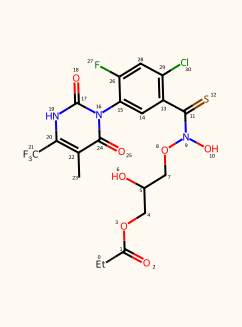 CCC(=O)OCC(O)CON(O)C(=S)c1cc(-n2c(=O)[nH]c(C(F)(F)F)c(C)c2=O)c(F)cc1Cl